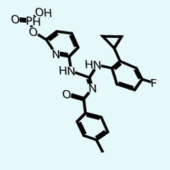 Cc1ccc(C(=O)/N=C(\Nc2cccc(O[PH](=O)O)n2)Nc2ccc(F)cc2C2CC2)cc1